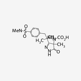 CNS(=O)(=O)c1ccc(CC(C)(C)C2=NNC(=O)C2(C)N(O)C(=O)O)cc1